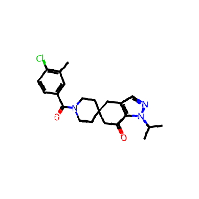 Cc1cc(C(=O)N2CCC3(CC2)CC(=O)c2c(cnn2C(C)C)C3)ccc1Cl